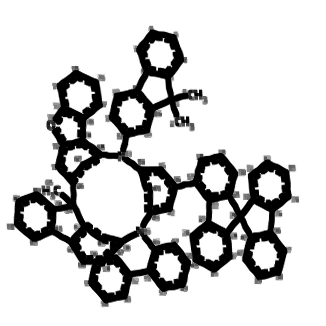 CC1(C)c2ccccc2-c2ccc(N3c4cc(-c5cccc6c5-c5ccccc5C65c6ccccc6-c6ccccc65)cc(c4)N(c4ccccc4-c4ccccc4)c4ccc5c(c4)C(C)(c4cc3c3c(c4)oc4ccccc43)c3ccccc3-5)cc21